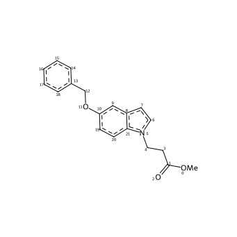 COC(=O)CCn1ccc2cc(OCc3ccccc3)ccc21